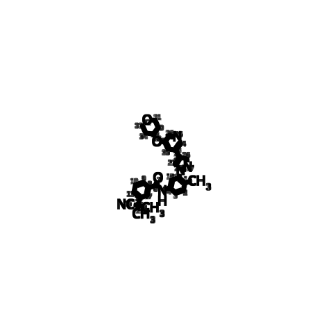 Cc1ccc(NC(=O)c2cccc(C(C)(C)C#N)c2)cc1-n1cc(-c2cncc(OC3CCOCC3)c2)cn1